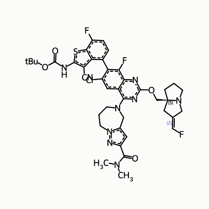 CN(C)C(=O)c1cc2n(n1)CCCN(c1nc(OC[C@@]34CCCN3C/C(=C\F)C4)nc3c(F)c(-c4ccc(F)c5sc(NC(=O)OC(C)(C)C)c(C#N)c45)c(Cl)cc13)C2